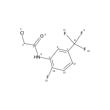 O=C(CCl)Nc1cc(C(F)(F)F)ccc1F